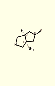 N[C@]12C[N]C[C@H]1C[C@@H](F)C2